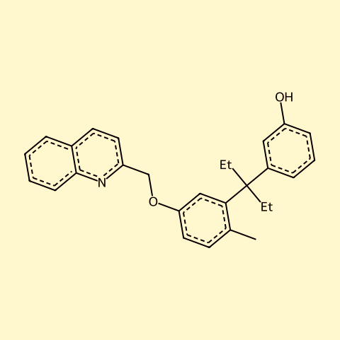 CCC(CC)(c1cccc(O)c1)c1cc(OCc2ccc3ccccc3n2)ccc1C